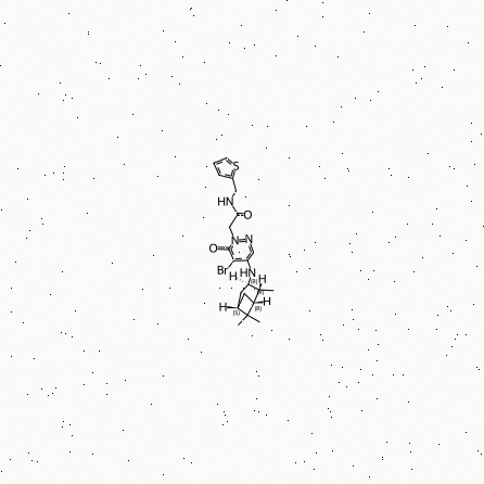 C[C@@H]1[C@H]2C[C@@H](C[C@H]1Nc1cnn(CC(=O)NCc3cccs3)c(=O)c1Br)C2(C)C